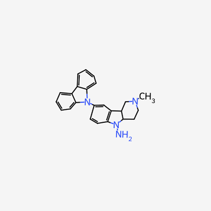 CN1CCC2C(C1)c1cc(-n3c4ccccc4c4ccccc43)ccc1N2N